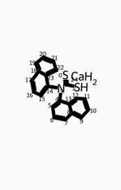 S=C(S)N(c1cccc2ccccc12)c1cccc2ccccc12.[CaH2]